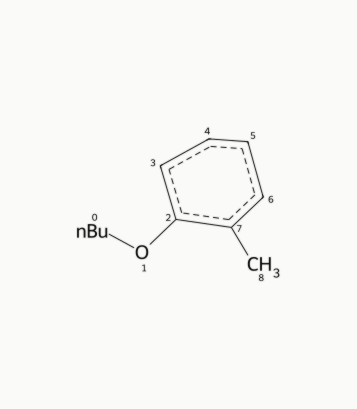 [CH2]CCCOc1ccccc1C